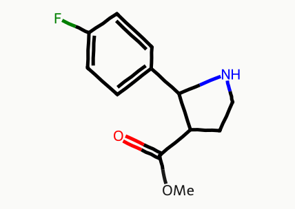 COC(=O)C1CCNC1c1ccc(F)cc1